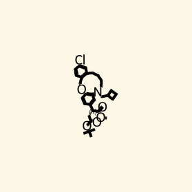 COC(=O)[C@H](CC(=O)OC(C)(C)C)c1ccc2c(c1)N(CC1CCC1)CCCCc1cc(Cl)ccc1CO2